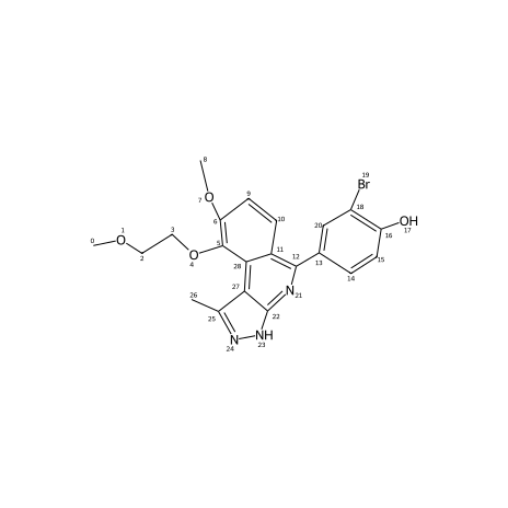 COCCOc1c(OC)ccc2c(-c3ccc(O)c(Br)c3)nc3[nH]nc(C)c3c12